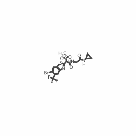 CS(=O)(=O)C(C(=O)NCC(=O)NC1CC1)c1nc2cc(C(F)(F)F)c(Br)cc2s1